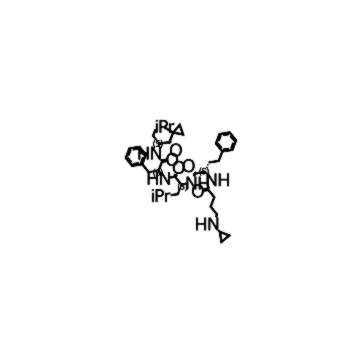 CC(C)C[C@H](NC(=O)[C@H](CCc1ccccc1)NC(=O)CCCNC1CC1)C(=O)N[C@@H](Cc1ccccc1)C(=O)N[C@@H](CC(C)C)C(=O)C1(C)CC1